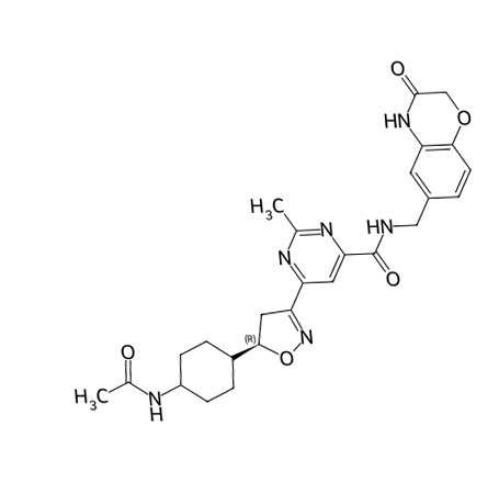 CC(=O)NC1CCC([C@H]2CC(c3cc(C(=O)NCc4ccc5c(c4)NC(=O)CO5)nc(C)n3)=NO2)CC1